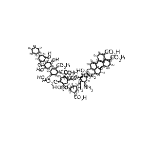 Nc1cc(C(=O)O)cc(C(=O)O)c1.Nc1cc(N)cc(C(=O)O)c1.O=C(O)c1cc(C(=O)O)c(C(=O)O)cc1C(=O)O.O=C(O)c1ccc(C(=O)O)c(C(=O)O)c1.O=C(O)c1ccc2c3ccc(C(=O)O)c4c(C(=O)O)ccc(c5ccc(C(=O)O)c1c25)c43.Oc1ccc(O)cc1.Oc1cccc(O)c1.c1ccccc1